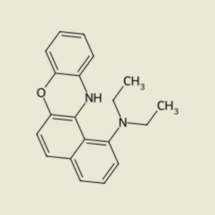 CCN(CC)c1cccc2ccc3c(c12)Nc1ccccc1O3